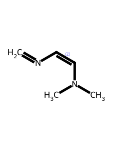 C=N/C=C\N(C)C